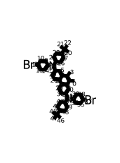 Cc1c(C)c2cc(N(c3ccc(Br)cc3)c3ccc(C(C)(C)C)cc3)ccc2c2ccc(N(c3ccc(Br)cc3)c3ccc(C(C)(C)C)cc3)cc12